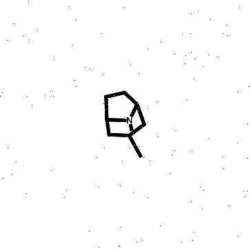 [CH2]C1CC2CCC(C1)N2C